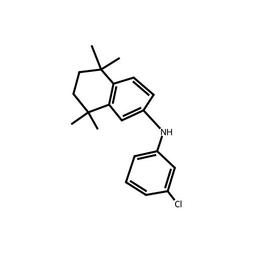 CC1(C)CCC(C)(C)c2cc(Nc3cccc(Cl)c3)ccc21